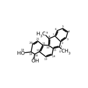 Cc1c2ccccc2c(C)c2c3c(ccc12)C(O)C(O)C=C3